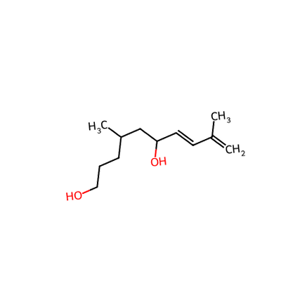 C=C(C)C=CC(O)CC(C)CCCO